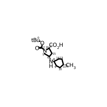 CC(C)(C)OC(=O)N1C[C@H](N[C@H]2CC[C@@H](C)CC2)C[C@H]1C(=O)O